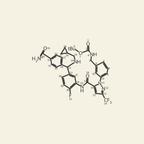 CC(C)(C)OC(=O)NCc1cccc(-n2nc(C(F)(F)F)cc2C(=O)Nc2cc(C(NCC3CC3)c3ccc(C(N)=O)cc3)ccc2F)c1